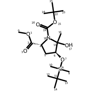 COC(=O)[C@H]1C[C@H](O[Si](C)(C)C(C)(C)C)C(C)(O)N1C(=O)OC(C)(C)C